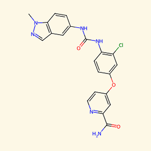 Cn1ncc2cc(NC(=O)Nc3ccc(Oc4ccnc(C(N)=O)c4)cc3Cl)ccc21